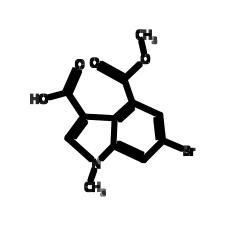 COC(=O)c1cc(Br)cc2c1c(C(=O)O)cn2C